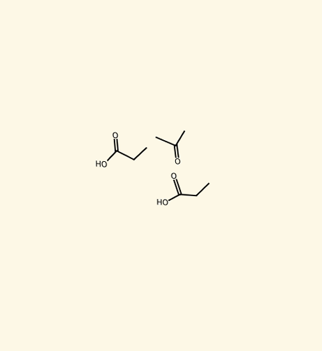 CC(C)=O.CCC(=O)O.CCC(=O)O